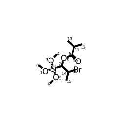 CO[Si](OC)(OC)C(OC(=O)C(C)C)C(C)Br